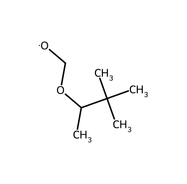 CC(OC[O])C(C)(C)C